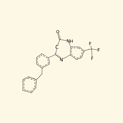 O=C1CC(c2cccc(Cc3ccccc3)c2)=Nc2ccc(C(F)(F)F)cc2N1